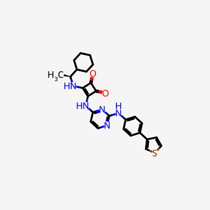 C[C@H](Nc1c(Nc2ccnc(Nc3ccc(-c4ccsc4)cc3)n2)c(=O)c1=O)C1CCCCC1